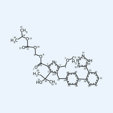 COCc1nc(C(=O)OCOC(=O)OC(C)C)c(C(C)(C)O)n1Cc1ccc(-c2ccccc2-c2nnn[nH]2)cc1